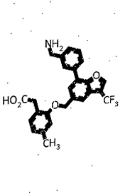 Cc1ccc(CC(=O)O)c(OCc2cc(-c3cccc(CN)c3)c3occ(C(F)(F)F)c3c2)c1